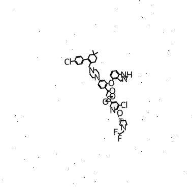 CC1(C)CCC(CN2CCN(c3ccc(C(=O)CS(=O)(=O)c4cnc(OC[C@@H]5CCN(CC(F)F)C5)c(Cl)c4)c(Oc4cccc5[nH]ncc45)c3)CC2)=C(c2ccc(Cl)cc2)C1